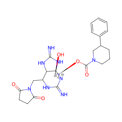 N=C1NC2C(CN3C(=O)CCC3=O)NC(=N)N3C[C@H](OC(=O)N4CCCC(c5ccccc5)C4)[C@@H](O)C23N1